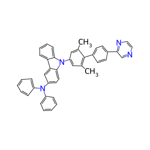 Cc1cc(-n2c3ccccc3c3cc(N(c4ccccc4)c4ccccc4)ccc32)cc(C)c1-c1ccc(-c2cnccn2)cc1